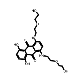 O=C1c2c(O)ccc(O)c2C(=O)c2c(NCCOCCO)ccc(NCCOCCO)c21